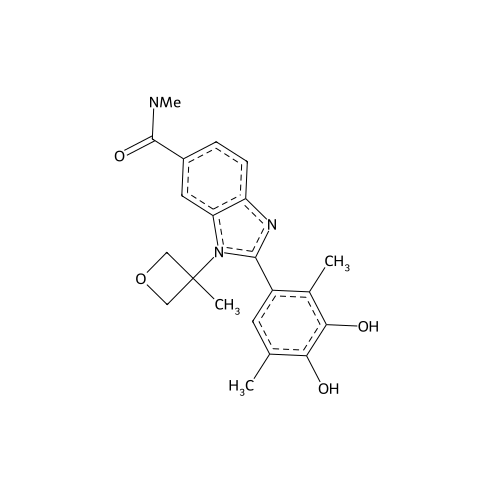 CNC(=O)c1ccc2nc(-c3cc(C)c(O)c(O)c3C)n(C3(C)COC3)c2c1